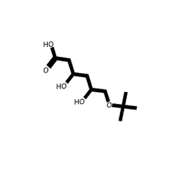 CC(C)(C)OCC(O)CC(O)CC(=O)O